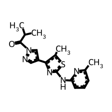 Cc1cccc(Nc2nc(-c3cnn(C(=O)C(C)C)c3)c(C)s2)n1